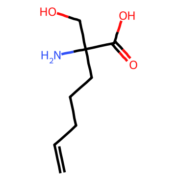 C=CCCCC(N)(CO)C(=O)O